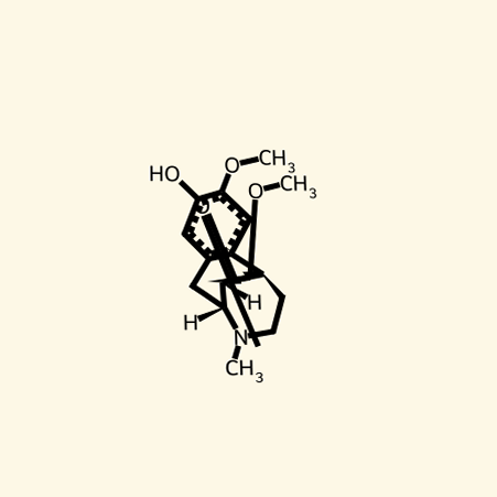 COC1=C[C@]23CCN(C)[C@H](Cc4cc(O)c(OC)cc42)[C@@H]3CC1=O